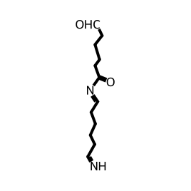 N=CCCCCC=NC(=O)CCCCC=O